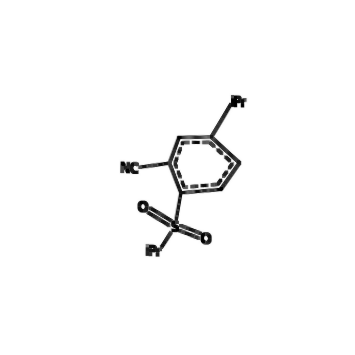 CC(C)c1ccc(S(=O)(=O)C(C)C)c(C#N)c1